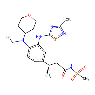 CC(C)CN(c1ccc([C@H](C)CC(=O)NS(C)(=O)=O)cc1Nc1nc(C(F)(F)F)ns1)C1CCOCC1